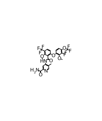 COc1c(Oc2ccc(C(F)(F)F)c(OC)c2C(=O)Nc2cc(C(N)=O)ncc2C)ccc(OC(F)(F)F)c1F